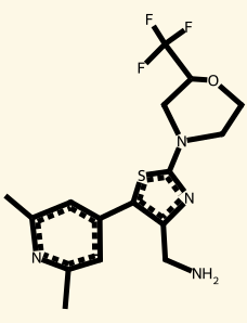 Cc1cc(-c2sc(N3CCOC(C(F)(F)F)C3)nc2CN)cc(C)n1